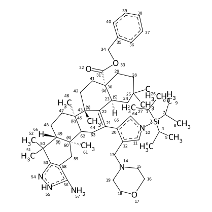 CC(C)[Si](C(C)C)(C(C)C)n1cc(CN2CCOCC2)c(C2=C3[C@@H]4CC(C)(C)CC[C@]4(C(=O)OCc4ccccc4)CC[C@@]3(C)[C@]3(C)CC[C@H]4C(C)(C)c5n[nH]c(N)c5C[C@]4(C)C3C2)c1